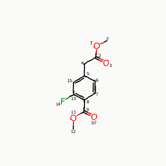 COC(=O)Cc1ccc(C(=O)OC)c(F)c1